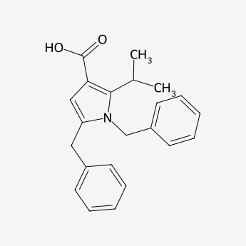 CC(C)c1c(C(=O)O)cc(Cc2ccccc2)n1Cc1ccccc1